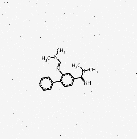 CN(C)/C=N/c1cc(C(=N)N(C)C)ccc1-c1ccccc1